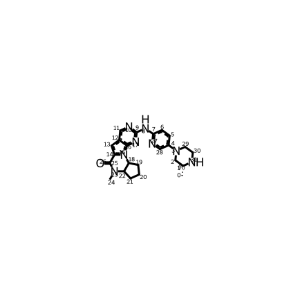 C[C@@H]1CN(c2ccc(Nc3ncc4cc5n(c4n3)C3CCCC3N(C)C5=O)nc2)CCN1